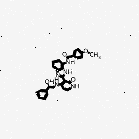 COc1ccc(C(=O)Nc2cccc3nc(-c4c(NC[C@H](O)c5ccccc5)cc[nH]c4=O)[nH]c23)cc1